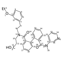 CCOc1cccc(CCN(CCC(=O)O)C(=O)c2ccccc2-c2ccccc2C(=O)N(C)c2cccnc2)c1